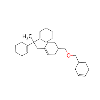 CC(CC1=CCC(COCC2CC=CCC2)CC1)(C1=CCCCC1)C1=CCCCC1